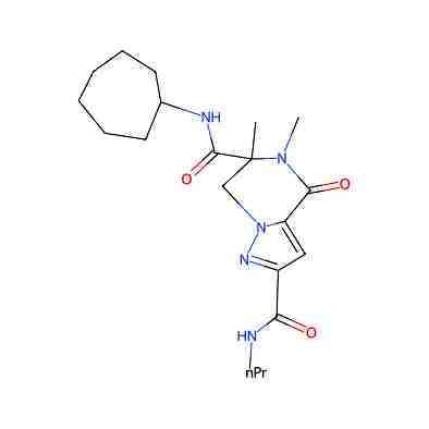 CCCNC(=O)c1cc2n(n1)CC(C)(C(=O)NC1CCCCCC1)N(C)C2=O